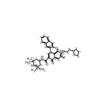 CC1(C)CC(NC(=O)c2cn3c4c(c(NCCN5CCCC5)c(F)cc4c2=O)Oc2cc4ccccc4cc2-3)CC(C)(C)N1